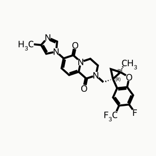 Cc1cn(-c2ccc3n(c2=O)CCN(C[C@]24C[C@@]2(C)Oc2cc(F)c(C(F)(F)F)cc24)C3=O)cn1